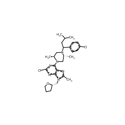 Cc1nc2c(N3C[C@@H](C)N(C(CC(C)C)c4ccc(Cl)cc4)C[C@@H]3C)nc(Cl)nc2n1C[C@@H]1CCCO1